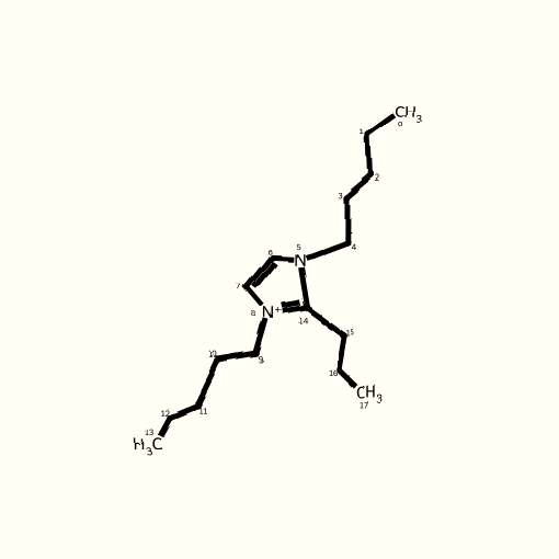 CCCCCn1cc[n+](CCCCC)c1CCC